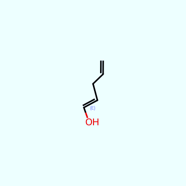 C=CC/C=C/O